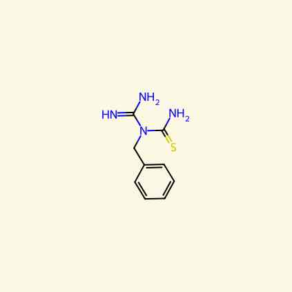 N=C(N)N(Cc1ccccc1)C(N)=S